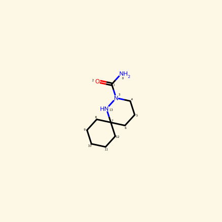 NC(=O)N1CCCC2(CCCCC2)N1